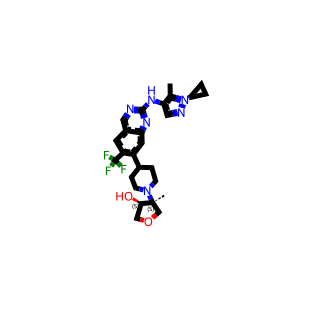 Cc1c(Nc2ncc3cc(C(F)(F)F)c(C4CCN([C@@]5(C)COC[C@H]5O)CC4)cc3n2)cnn1C1CC1